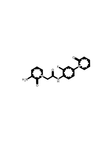 Nc1cccn(CC(=O)Nc2ccc(-n3ccccc3=O)cc2F)c1=O